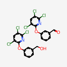 O=Cc1cccc(Oc2nc(Cl)c(Cl)cc2Cl)c1.OCc1cccc(Oc2nc(Cl)c(Cl)cc2Cl)c1